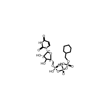 O=c1ccn([C@@H]2O[C@H](COP(=O)(O)OP(=O)(O)OP(=O)(O)OCC3CCCCC3)C(O)[C@@H]2O)c(=O)[nH]1